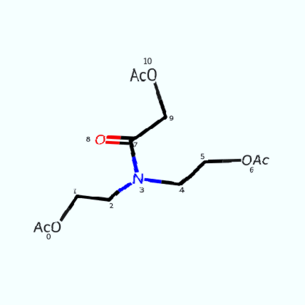 CC(=O)OCCN(CCOC(C)=O)C(=O)COC(C)=O